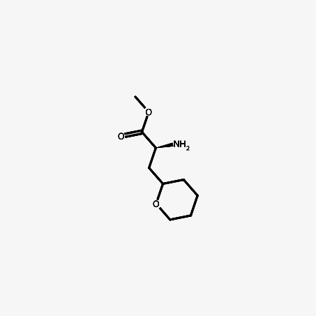 COC(=O)[C@@H](N)CC1CCCCO1